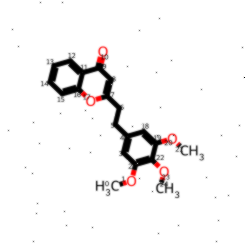 COc1cc(CCc2cc(=O)c3ccccc3o2)cc(OC)c1OC